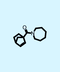 O=C(N1CCCCCC1)C12C=CC(CC1)C2